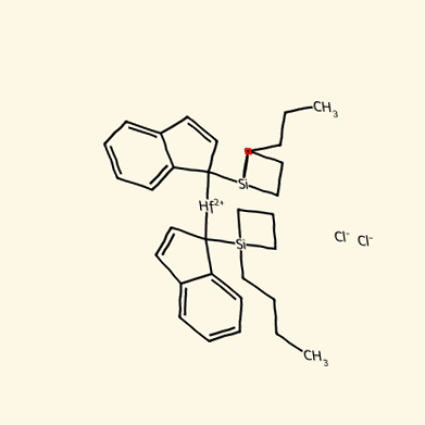 CCCC[Si]1([C]2([Hf+2][C]3([Si]4(CCCC)CCC4)C=Cc4ccccc43)C=Cc3ccccc32)CCC1.[Cl-].[Cl-]